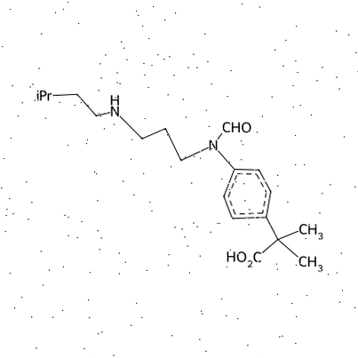 CC(C)CCNCCCN(C=O)c1ccc(C(C)(C)C(=O)O)cc1